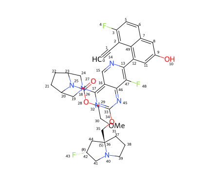 C#Cc1c(F)ccc2cc(O)cc(-c3ncc4c(N5CC6CCC(C5)N6C(=O)OCCOC)nc(OC[C@@]56CCCN5C[C@H](F)C6)nc4c3F)c12